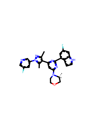 Cc1nn(-c2cncc(F)c2)c(C)c1-c1cc(N2CCOC[C@H]2C)nc(-c2cc(F)cc3[nH]ccc23)n1